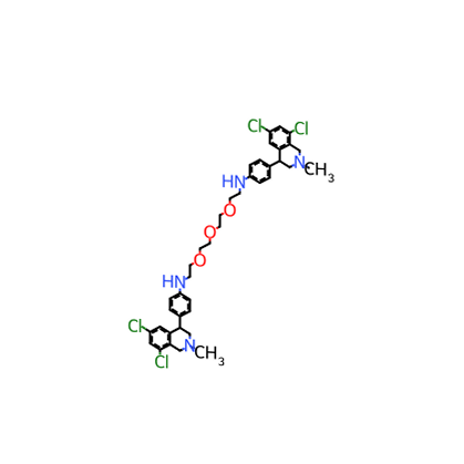 CN1Cc2c(Cl)cc(Cl)cc2C(c2ccc(NCCOCCOCCOCCNc3ccc(C4CN(C)Cc5c(Cl)cc(Cl)cc54)cc3)cc2)C1